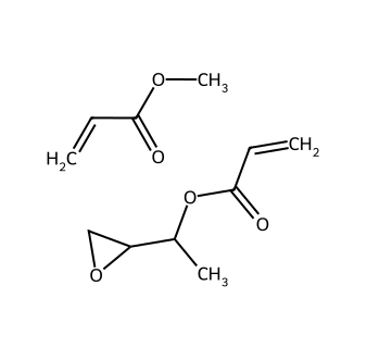 C=CC(=O)OC.C=CC(=O)OC(C)C1CO1